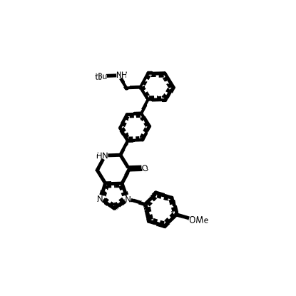 COc1ccc(-n2cnc3c2C(=O)C(c2ccc(-c4ccccc4CNC(C)(C)C)cc2)NC3)cc1